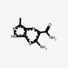 Cc1n[nH]c2nc(N)c(C(N)=O)nc12